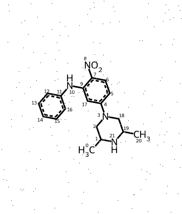 CC1CN(c2ccc([N+](=O)[O-])c(Nc3ccccc3)c2)CC(C)N1